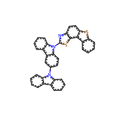 c1ccc2c(c1)sc1ccc3nc(-n4c5ccccc5c5cc(-n6c7ccccc7c7ccccc76)ccc54)sc3c12